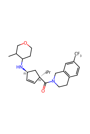 CC1COCCC1N[C@@H]1C=C[C@@](C(=O)N2CCc3ccc(C(F)(F)F)cc3C2)(C(C)C)C1